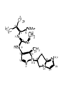 C=N/C(=N\C(NC)=C(/C)C(F)(F)F)Nc1cnn(C2Cc3nccn3C2)c1C